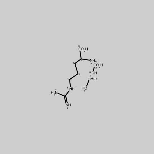 CCCCCCO.N=C(N)NCCCC(N)C(=O)O.O=C(O)O